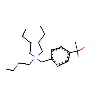 CCCC[N+](CCCC)(CCCC)Cc1ccc(C(C)(C)O)cc1